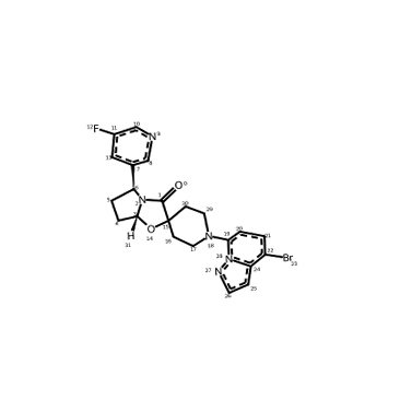 O=C1N2[C@@H](CC[C@H]2c2cncc(F)c2)OC12CCN(c1ccc(Br)c3ccnn13)CC2